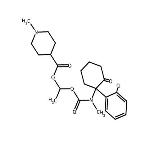 CC(OC(=O)C1CCN(C)CC1)OC(=O)N(C)C1(c2ccccc2Cl)CCCCC1=O